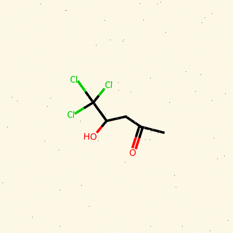 CC(=O)CC(O)C(Cl)(Cl)Cl